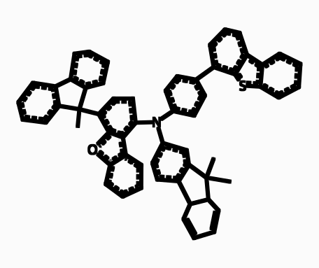 CC1(c2ccc(N(c3ccc(-c4cccc5c4sc4ccccc45)cc3)c3ccc4c(c3)C(C)(C)C3C=CC=CC43)c3c2oc2ccccc23)c2ccccc2-c2ccccc21